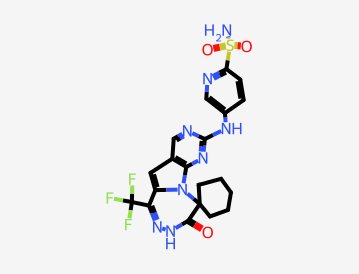 NS(=O)(=O)c1ccc(Nc2ncc3cc4n(c3n2)C2(CCCCC2)C(=O)NN=C4C(F)(F)F)cn1